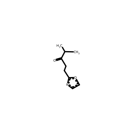 CC(C)C(=O)CCc1ncco1